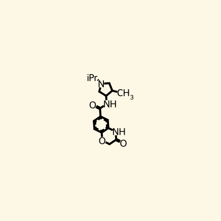 CC1CN(C(C)C)CC1NC(=O)c1ccc2c(c1)NC(=O)CO2